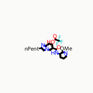 CCCCCc1cn2cc(C(=O)Nc3cccnc3OC)ccc2n1.O=C(O)C(F)(F)F